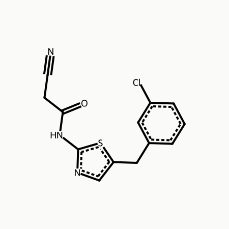 N#CCC(=O)Nc1ncc(Cc2cccc(Cl)c2)s1